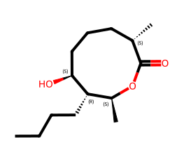 CCCC[C@H]1[C@H](C)OC(=O)[C@@H](C)CCC[C@@H]1O